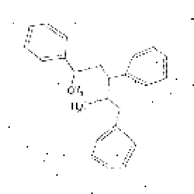 CC(CC(c1ccccc1)C(C)Cc1ccccc1)c1ccccc1